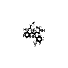 COCCNc1cnccc1-c1nn2c(c1Nc1cccc(F)c1OC)C(=O)NCC2